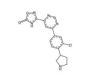 O=c1[nH]c(-c2cc(-c3ccc(C4CCNC4)c(Cl)c3)ncn2)no1